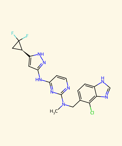 CN(Cc1ccc2[nH]cnc2c1Cl)c1nccc(Nc2cc([C@H]3CC3(F)F)[nH]n2)n1